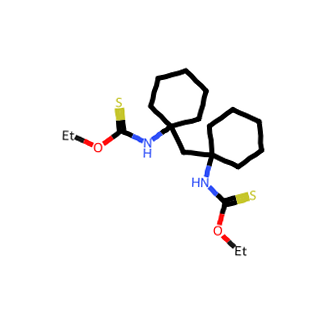 CCOC(=S)NC1(CC2(NC(=S)OCC)CCCCC2)CCCCC1